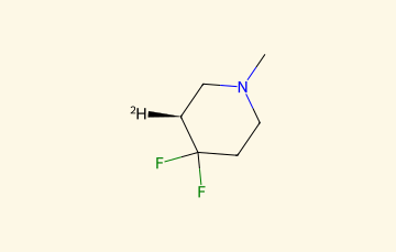 [2H][C@H]1CN(C)CCC1(F)F